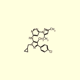 Cc1cc(C)n(-c2cc(Nc3c(C)c(-c4ccc(Cl)cc4)nn3CC3CC3)ncn2)n1